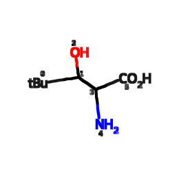 CC(C)(C)C(O)C(N)C(=O)O